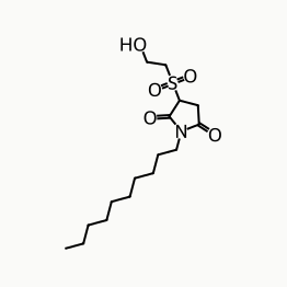 CCCCCCCCCCN1C(=O)CC(S(=O)(=O)CCO)C1=O